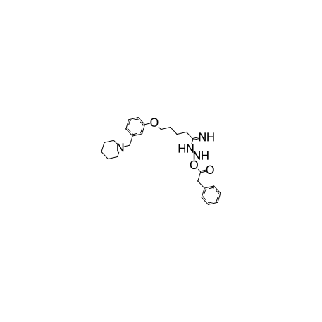 N=C(CCCCOc1cccc(CN2CCCCC2)c1)NNOC(=O)Cc1ccccc1